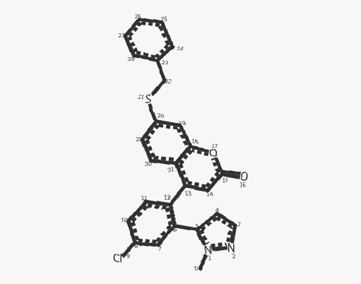 Cn1nccc1-c1cc(Cl)ccc1-c1cc(=O)oc2cc(SCc3ccccc3)ccc12